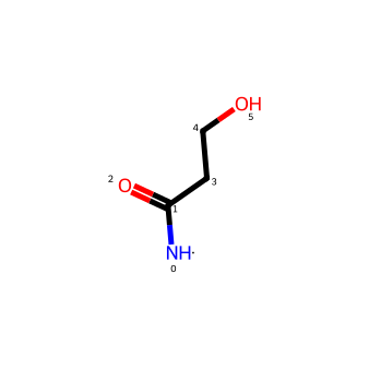 [NH]C(=O)CCO